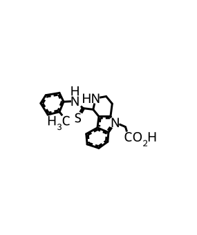 Cc1ccccc1NC(=S)C1NCCc2c1c1ccccc1n2CC(=O)O